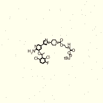 C[C@H](Oc1cc(-c2cnn(C3CCN(C(=O)OCCNC(=O)OOC(C)(C)C)CC3)c2)cnc1N)c1c(Cl)ccc(F)c1Cl